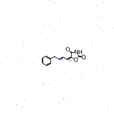 O=C1NC(=O)/C(=C\C=C\Cc2ccccc2)O1